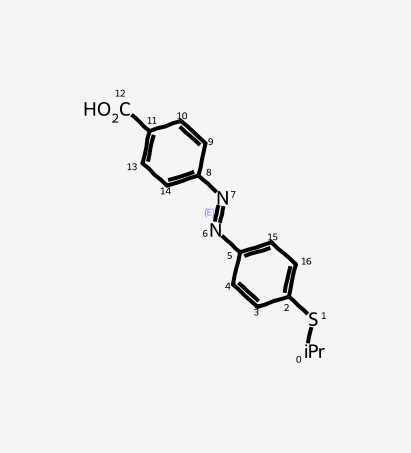 CC(C)Sc1ccc(/N=N/c2ccc(C(=O)O)cc2)cc1